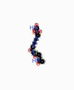 O=C1CCC(N2C(=O)c3ccc(N4CC(N5CC(N6CCC(C(=O)N7CCN(C(=O)c8cc(Cc9n[nH]c(=O)c%10ccccc9%10)ccc8F)CC7)CC6)C5)C4)cc3C2=O)C(=O)N1